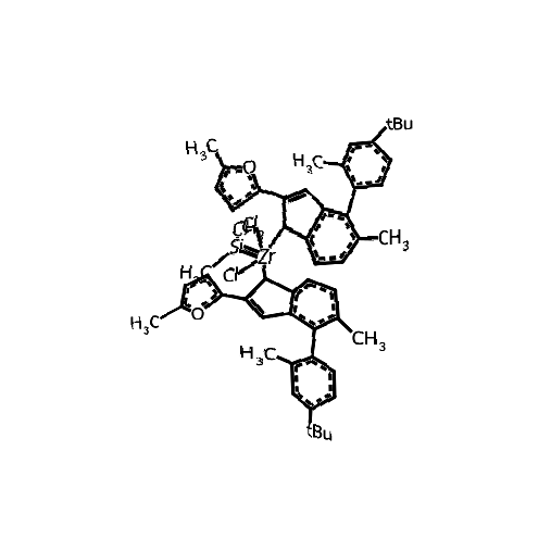 Cc1ccc(C2=Cc3c(ccc(C)c3-c3ccc(C(C)(C)C)cc3C)[CH]2[Zr]([Cl])([Cl])([CH]2C(c3ccc(C)o3)=Cc3c2ccc(C)c3-c2ccc(C(C)(C)C)cc2C)=[Si](C)C)o1